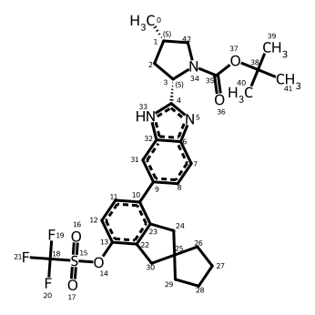 C[C@H]1C[C@@H](c2nc3ccc(-c4ccc(OS(=O)(=O)C(F)(F)F)c5c4CC4(CCCC4)C5)cc3[nH]2)N(C(=O)OC(C)(C)C)C1